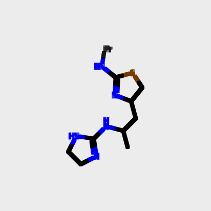 CC(C)NC1=NC(CC(C)NC2=NCCN2)CS1